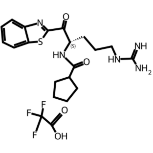 N=C(N)NCCC[C@H](NC(=O)C1CCCC1)C(=O)c1nc2ccccc2s1.O=C(O)C(F)(F)F